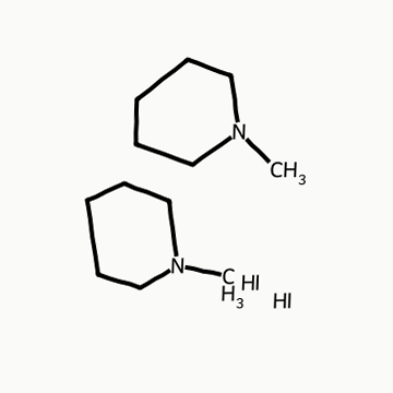 CN1CCCCC1.CN1CCCCC1.I.I